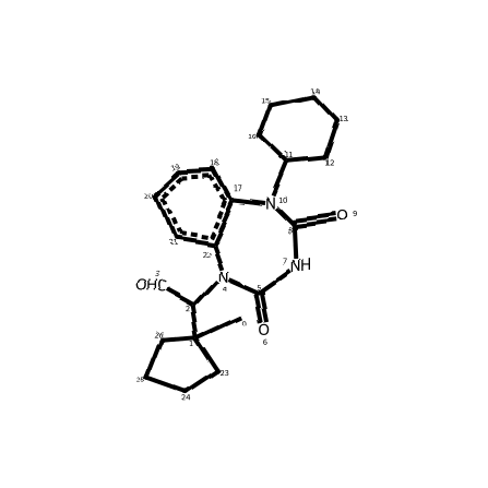 CC1(C(C=O)N2C(=O)NC(=O)N(C3CCCCC3)c3ccccc32)CCCC1